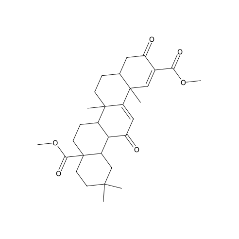 COC(=O)C1=CC2(C)C3=CC(=O)C4C(CCC5(C(=O)OC)CCC(C)(C)CC45)C3(C)CCC2CC1=O